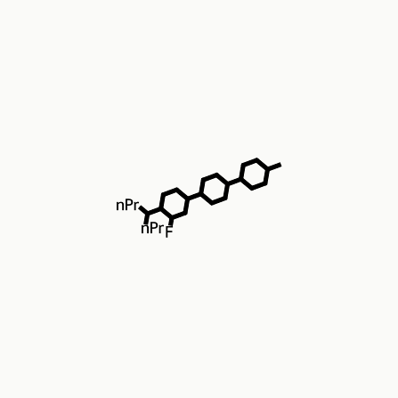 CCCC(CCC)C1CCC(C2CCC(C3CCC(C)CC3)CC2)CC1F